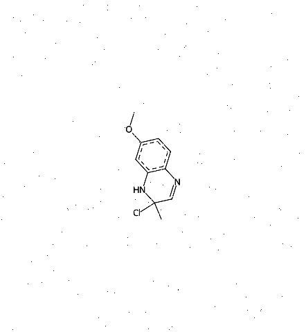 COc1ccc2c(c1)NC(C)(Cl)C=N2